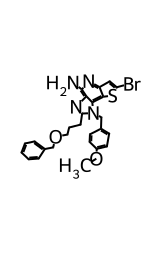 COc1ccc(Cn2c(CCCOCc3ccccc3)nc3c(N)nc4cc(Br)sc4c32)cc1